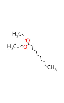 CCCCCCCCCC(OCCC)OCCC